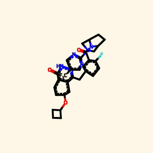 O=C(c1cc(Cc2n[nH]c(=O)c3ccc(OC4CCC4)cc23)ccc1F)N1C2CCC1CN(c1ncc(C(F)(F)F)cn1)C2